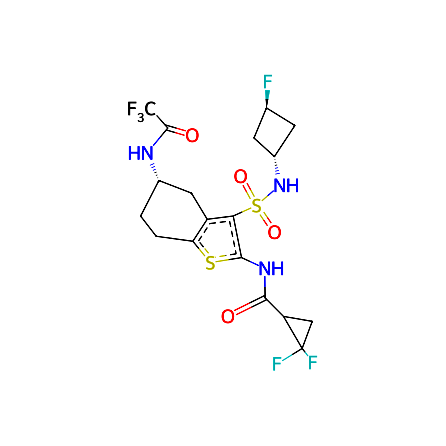 O=C(Nc1sc2c(c1S(=O)(=O)N[C@H]1C[C@H](F)C1)C[C@@H](NC(=O)C(F)(F)F)CC2)C1CC1(F)F